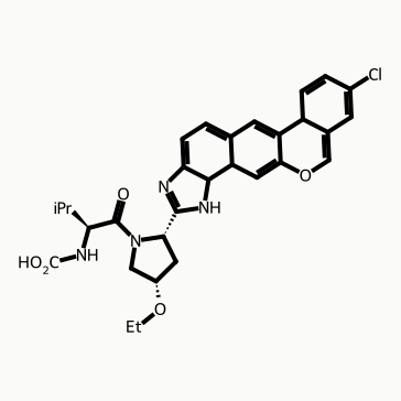 CCO[C@H]1C[C@@H](C2=NC3=CC=C4C=C5C(=CC4C3N2)OC=C2C=C(Cl)C=CC25)N(C(=O)[C@@H](NC(=O)O)C(C)C)C1